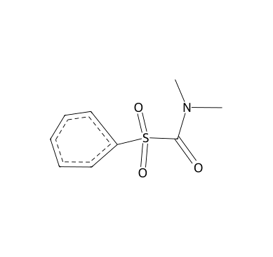 CN(C)C(=O)S(=O)(=O)c1ccccc1